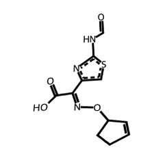 O=CNc1nc(/C(=N\OC2C=CCC2)C(=O)O)cs1